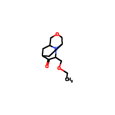 CCOCC1C(=O)C2CC3COCC(C2)N31